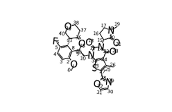 COc1ccc(F)cc1[C@H](Cn1c(=O)n(C2CCN(C)C2=O)c(=O)c2c(C)c(-c3ncco3)sc21)OC1CCOCC1